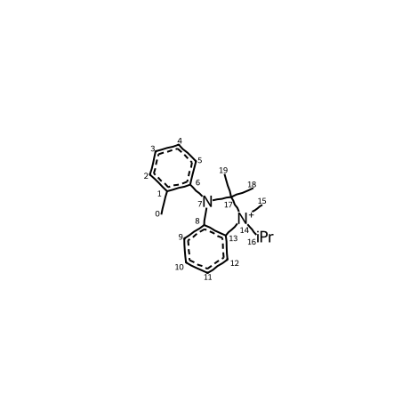 Cc1ccccc1N1c2ccccc2[N+](C)(C(C)C)C1(C)C